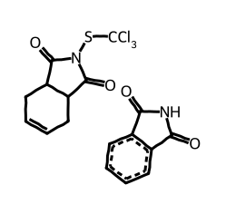 O=C1C2CC=CCC2C(=O)N1SC(Cl)(Cl)Cl.O=C1NC(=O)c2ccccc21